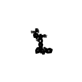 CCCCc1nn(-c2cc(NC(=O)C(C)CC)ccc2Cl)c(=O)n1Cc1ccc(-c2ccccc2S(=O)(=O)NC(=O)c2ccccc2Cl)cc1